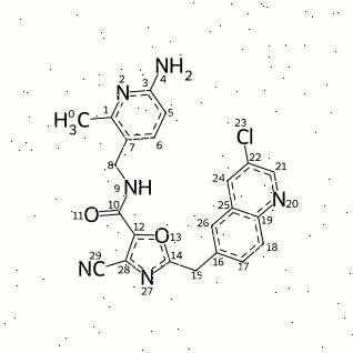 Cc1nc(N)ccc1CNC(=O)c1oc(Cc2ccc3ncc(Cl)cc3c2)nc1C#N